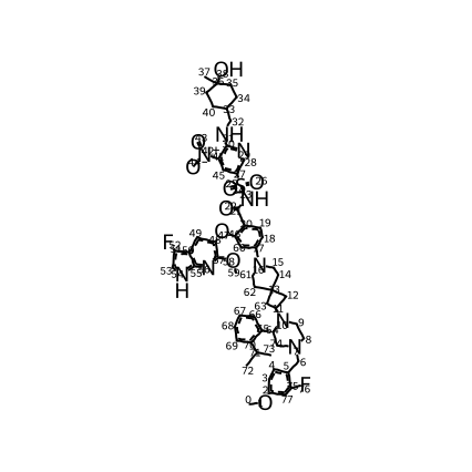 COc1ccc(CN2CCN(C3CC4(CCN(c5ccc(C(=O)NS(=O)(=O)c6cnc(NCC7CCC(C)(O)CC7)c([N+](=O)[O-])c6)c(Oc6cc7c(F)c[nH]c7nc6OC)c5)CC4)C3)[C@H](c3ccccc3C(C)C)C2)c(F)c1